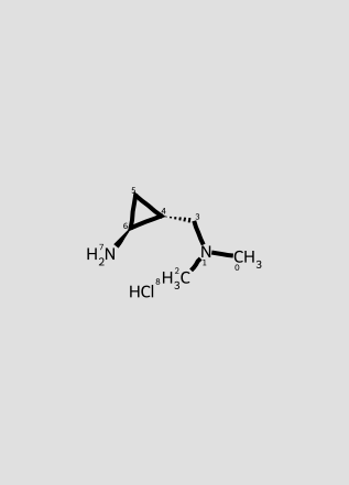 CN(C)C[C@H]1C[C@@H]1N.Cl